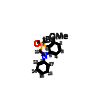 COc1cccc2c1P(=O)(C(C)(C)C)CN2c1ccccc1